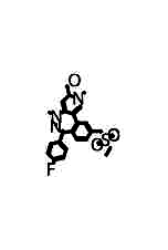 CCS(=O)(=O)Cc1ccc2c(c1)C1=CN(C)C(C=O)C=C1N(C)N=C2c1ccc(F)cc1